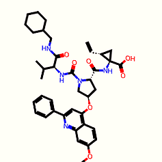 C=C[C@@H]1C[C@]1(NC(=O)[C@@H]1C[C@@H](Oc2cc(-c3ccccc3)nc3cc(OC)ccc23)CN1C(=O)N[C@H](C(=O)NCC1CCCCC1)C(C)C)C(=O)O